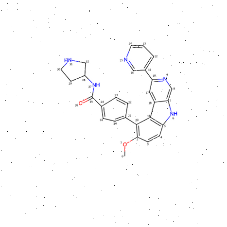 COc1ccc2[nH]c3cnc(-c4cccnc4)cc3c2c1-c1ccc(C(=O)NC2CCNC2)cc1